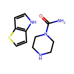 NC(=O)N1CCNCC1.c1cc2sccc2[nH]1